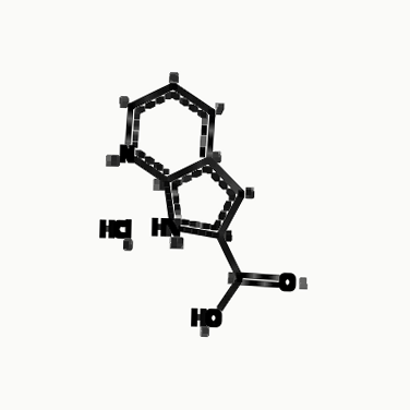 Cl.O=C(O)c1cc2cccnc2[nH]1